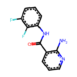 Nc1ncccc1C(=O)Nc1cccc(F)c1F